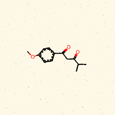 COc1ccc(C(=O)CC(=O)C(C)C)cc1